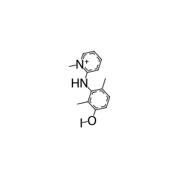 Cc1ccc(OI)c(C)c1Nc1cccc[n+]1C